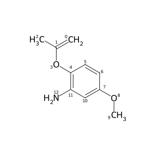 C=C(C)Oc1ccc(OC)cc1N